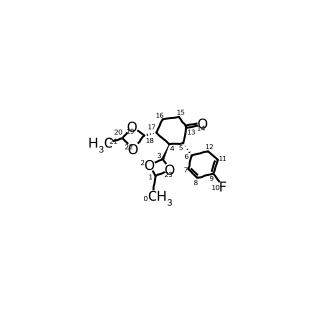 CC1OC([C@@H]2[C@@H](C3C=CC(F)=CC3)C(=O)CC[C@H]2C2OC(C)O2)O1